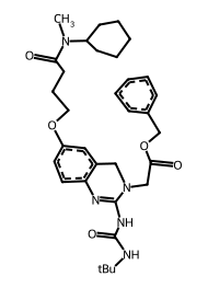 CN(C(=O)CCCOc1ccc2c(c1)CN(CC(=O)OCc1ccccc1)C(NC(=O)NC(C)(C)C)=N2)C1CCCCC1